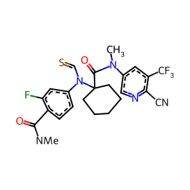 CNC(=O)c1ccc(N(C=S)C2(C(=O)N(C)c3cnc(C#N)c(C(F)(F)F)c3)CCCCC2)cc1F